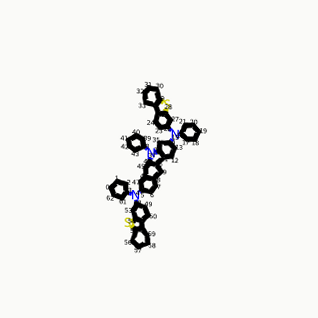 c1ccc(N(c2ccc3cc4c5ccc(N(c6ccccc6)c6ccc7c(c6)sc6ccccc67)cc5n(-c5ccccc5)c4cc3c2)c2ccc3c(c2)sc2ccccc23)cc1